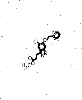 COC(=O)CCc1noc2cc(OCCc3ccccn3)c(Cl)cc12